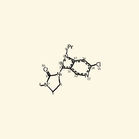 CC(C)n1nc(N2CCN(C)C2=O)c2cnc(Cl)cc21